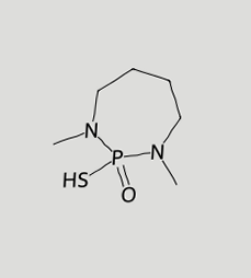 CN1CCCCN(C)P1(=O)S